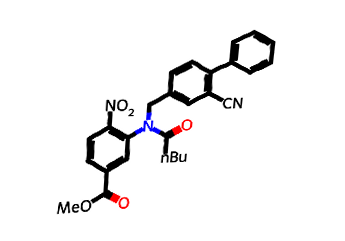 CCCCC(=O)N(Cc1ccc(-c2ccccc2)c(C#N)c1)c1cc(C(=O)OC)ccc1[N+](=O)[O-]